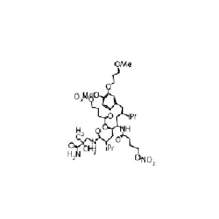 COCCCOc1cc(CC(CC(NC(=O)CCCO[N+](=O)[O-])C(CC(C(=O)NCC(C)(C)C(N)=O)C(C)C)OC(=O)CCCO[N+](=O)[O-])C(C)C)ccc1OC